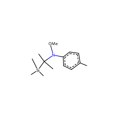 CON(c1ccc(C)cc1)C(C)(C)[Si](C)(C)C